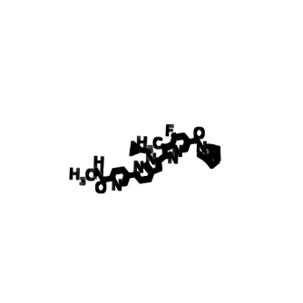 CNC(=O)c1ccc(-c2ccc3cc(-c4nn5cc(C(=O)N6CC7CC8CC6[C@H]87)cc(F)c5c4C)n(CC4CC4)c3n2)cn1